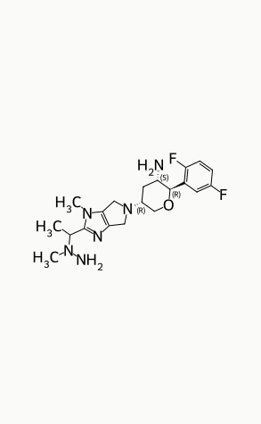 CC(c1nc2c(n1C)CN([C@H]1CO[C@H](c3cc(F)ccc3F)[C@@H](N)C1)C2)N(C)N